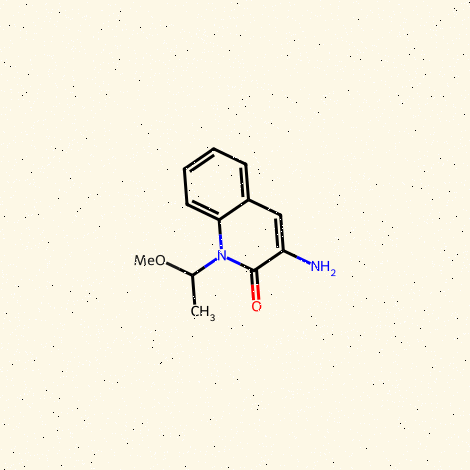 COC(C)n1c(=O)c(N)cc2ccccc21